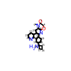 CN1C(=O)COc2nc(-c3ccc(C4(N)CCC4)cc3)c(-c3cccnc3)cc21